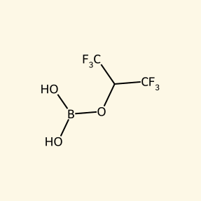 OB(O)OC(C(F)(F)F)C(F)(F)F